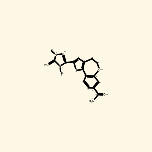 CC(C)n1c(-c2cc3c(s2)-c2ccc(C(N)=O)cc2OCC3)nn(C)c1=O